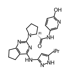 CC(C)c1cc(Nc2nc(N3CCC[C@@H]3C(=O)Nc3ccc(O)nc3)nc3c2CCC3)n[nH]1